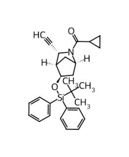 C#C[C@H]1[C@H]2C[C@H](C[C@H]2O[Si](c2ccccc2)(c2ccccc2)C(C)(C)C)N1C(=O)C1CC1